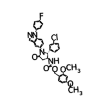 COc1ccc(COC(=O)NC2CC(=O)N(c3ccc4c(cnn4-c4ccc(F)cc4)c3)[C@@H]2c2cccc(Cl)c2)c(OC)c1